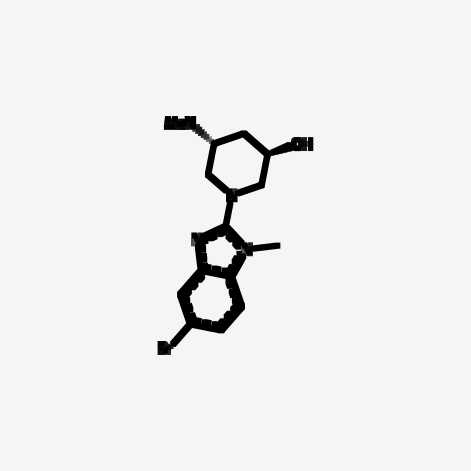 CN[C@@H]1C[C@@H](O)CN(c2nc3cc(Br)ccc3n2C)C1